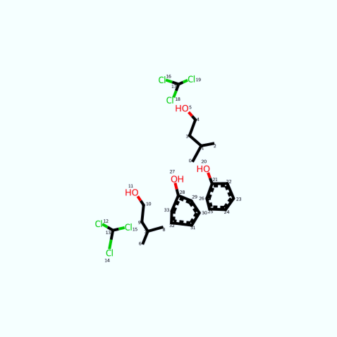 CC(C)CCO.CC(C)CCO.ClC(Cl)Cl.ClC(Cl)Cl.Oc1ccccc1.Oc1ccccc1